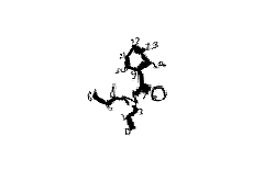 C=CCN(CC=C)C(=O)c1[c]cccc1